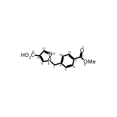 COC(=O)c1ccc(Cn2cc(C(=O)O)cn2)cc1